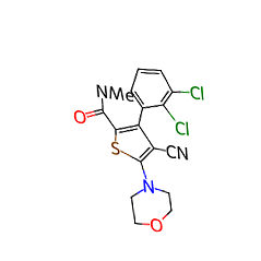 CNC(=O)c1sc(N2CCOCC2)c(C#N)c1-c1cccc(Cl)c1Cl